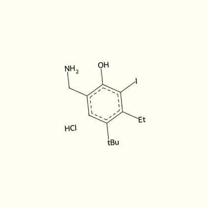 CCc1c(C(C)(C)C)cc(CN)c(O)c1I.Cl